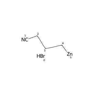 Br.N#CCC[CH2][Zn]